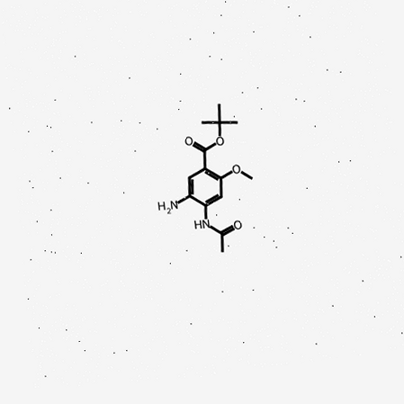 COc1cc(NC(C)=O)c(N)cc1C(=O)OC(C)(C)C